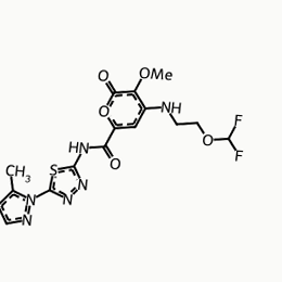 COc1c(NCCOC(F)F)cc(C(=O)Nc2nnc(-n3nccc3C)s2)oc1=O